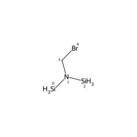 [SiH3]N([SiH3])CBr